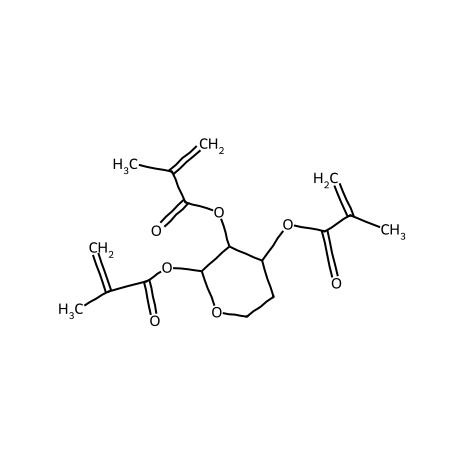 C=C(C)C(=O)OC1CCOC(OC(=O)C(=C)C)C1OC(=O)C(=C)C